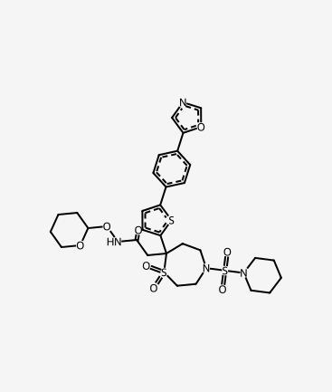 O=C(CC1(c2ccc(-c3ccc(-c4cnco4)cc3)s2)CCN(S(=O)(=O)N2CCCCC2)CCS1(=O)=O)NOC1CCCCO1